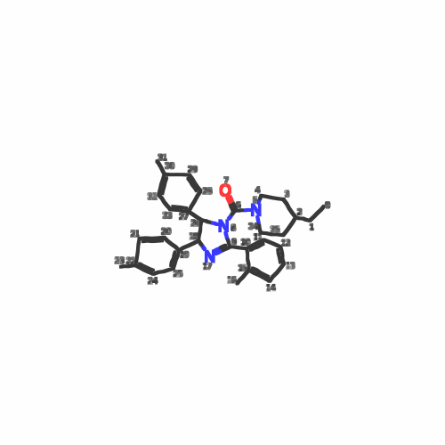 CCC1CCN(C(=O)N2C(c3ccccc3C)=NC(c3ccc(C)cc3)C2c2ccc(C)cc2)CC1